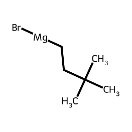 CC(C)(C)C[CH2][Mg][Br]